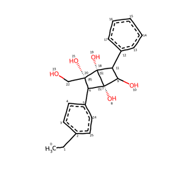 CCc1ccc(C2[C@]3(O)C(O)C(c4ccccc4)[C@]3(O)[C@]2(O)CO)cc1